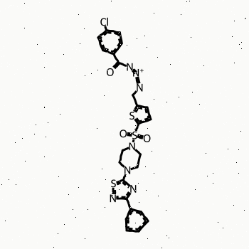 O=C(N=[N+]=NCc1ccc(S(=O)(=O)N2CCN(c3nc(-c4ccccc4)ns3)CC2)s1)c1ccc(Cl)cc1